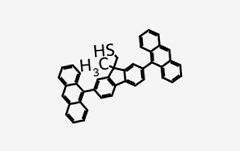 CC1(CS)c2cc(-c3c4ccccc4cc4ccccc34)ccc2-c2ccc(-c3c4ccccc4cc4ccccc34)cc21